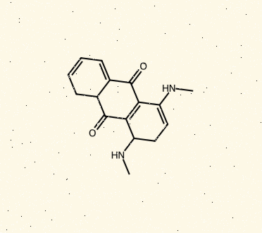 CNC1=CCC(NC)C2=C1C(=O)C1=CC=CCC1C2=O